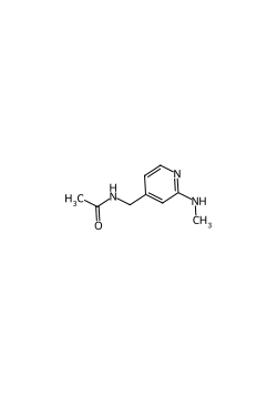 CNc1cc(CNC(C)=O)ccn1